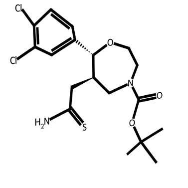 CC(C)(C)OC(=O)N1CCO[C@@H](c2ccc(Cl)c(Cl)c2)[C@H](CC(N)=S)C1